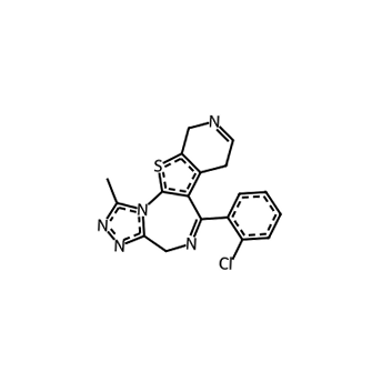 Cc1nnc2n1-c1sc3c(c1C(c1ccccc1Cl)=NC2)CC=NC3